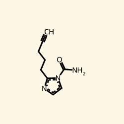 C#CCCCc1nccn1C(N)=O